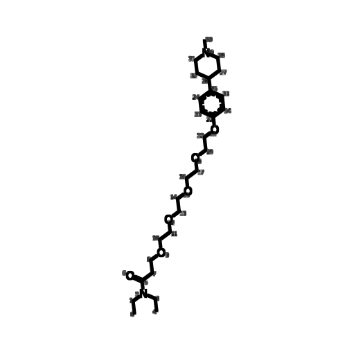 CCN(CC)C(=O)CCOCCOCCOCCOCCOc1ccc(C2CCN(C)CC2)cc1